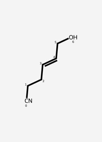 N#CCCC=CCO